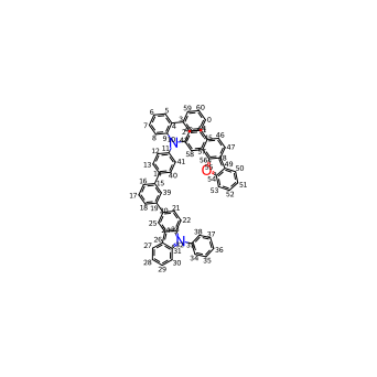 c1ccc(-c2ccccc2N(c2ccc(-c3cccc(-c4ccc5c(c4)c4ccccc4n5-c4ccccc4)c3)cc2)c2ccc3ccc4c5ccccc5oc4c3c2)cc1